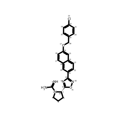 N=C(N)N1CCC[C@H]1c1nc(-c2ccc3cc(OCc4ccc(Cl)cc4)ccc3c2)no1